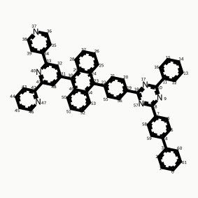 c1ccc(-c2ccc(-c3nc(-c4ccccc4)nc(-c4ccc(-c5c6ccccc6c(-c6cc(-c7ccncc7)nc(-c7ccccn7)c6)c6ccccc56)cc4)n3)cc2)cc1